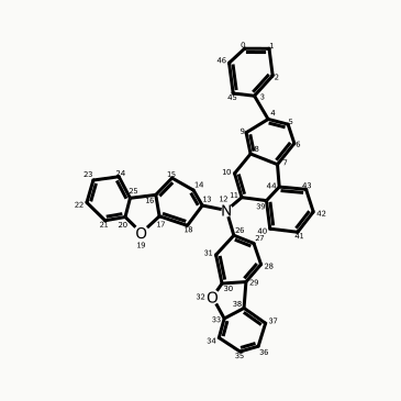 c1ccc(-c2ccc3c(c2)cc(N(c2ccc4c(c2)oc2ccccc24)c2ccc4c(c2)oc2ccccc24)c2ccccc23)cc1